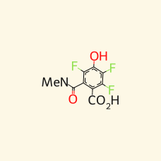 CNC(=O)c1c(F)c(O)c(F)c(F)c1C(=O)O